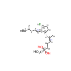 CCCCC(C)C/C=C/[C@@H]1[C@@H](C/C(C)=C\CCC(O)(O)C(=O)O)CC[C@H]1F